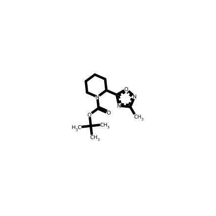 Cc1noc(C2CCCCN2C(=O)OC(C)(C)C)n1